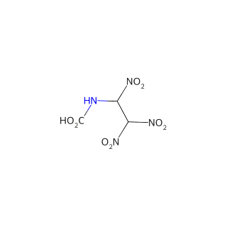 O=C(O)NC(C([N+](=O)[O-])[N+](=O)[O-])[N+](=O)[O-]